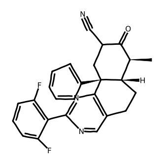 C[C@@H]1C(=O)C(C#N)C[C@@]2(c3ccccc3)c3nc(-c4c(F)cccc4F)ncc3CC[C@@H]12